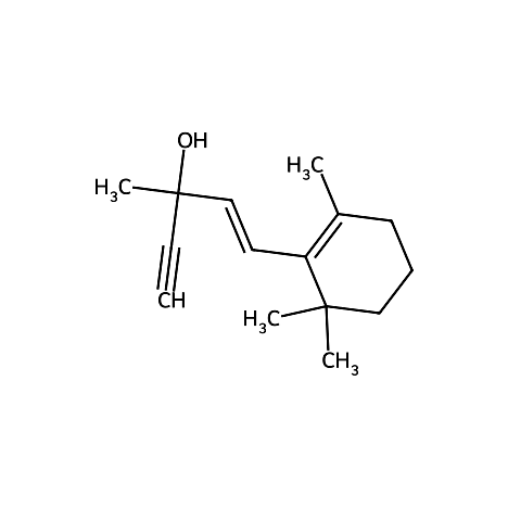 C#CC(C)(O)/C=C/C1=C(C)CCCC1(C)C